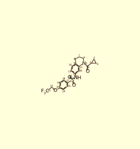 O=C(C1CC1)N1CCCc2ccc(NS(=O)(=O)c3ccc(OCC(F)(F)F)cc3)cc21